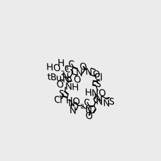 Cc1cn(CC(=O)N2CCOCC2)c(=O)c(-c2cc(NCc3ccc(Cl)s3)n(C(=O)C(C)(C)C)n2)c1C(=O)O.O=C(O)c1c(-c2cc(NCc3ccc(Cl)s3)n(C(=O)c3cscn3)n2)ccc(=O)n1CCc1cncnc1